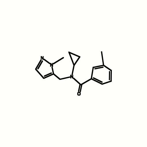 Cc1cccc(C(=O)N(Cc2ccnn2C)C2CC2)c1